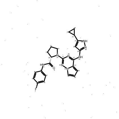 O=C(Nc1ccc(F)cc1)[C@@H]1CCCN1c1nc(Nc2cc(C3CC3)[nH]n2)c2cccn2n1